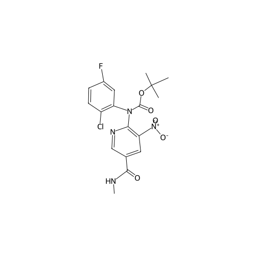 CNC(=O)c1cnc(N(C(=O)OC(C)(C)C)c2cc(F)ccc2Cl)c([N+](=O)[O-])c1